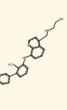 Cc1c(Nc2cccc3c(CNCCO)ccnc23)cccc1-c1ccccc1